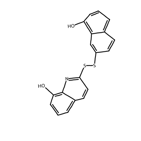 Oc1cccc2ccc(SSc3ccc4cccc(O)c4n3)cc12